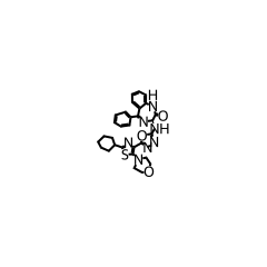 O=C1Nc2ccccc2C(c2ccccc2)=N[C@@H]1Nc1nnc(-c2nc(C3CCCCC3)sc2N2CCOCC2)o1